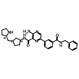 Nc1ncc(-c2cccc(C(=O)NCc3ccccc3)c2)nc1C(=O)N[C@H]1CCN(C[C@H]2CCCN2)C1